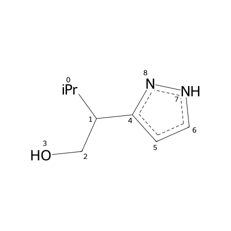 CC(C)C(CO)c1cc[nH]n1